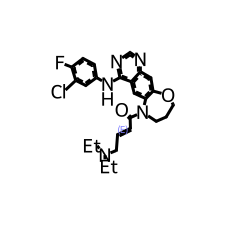 CCN(CC)C/C=C/C(=O)N1CCCOc2cc3ncnc(Nc4ccc(F)c(Cl)c4)c3cc21